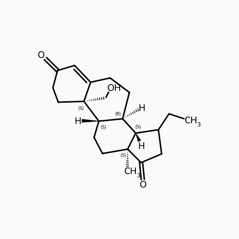 CCC1CC(=O)[C@@]2(C)CC[C@H]3[C@@H](CCC4=CC(=O)CC[C@@]43CO)[C@H]12